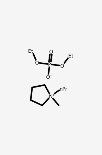 CCC[N+]1(C)CCCC1.CCOP(=O)([O-])OCC